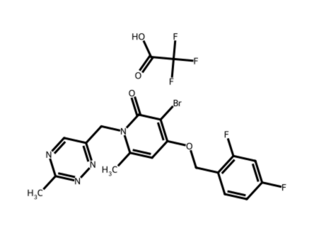 Cc1ncc(Cn2c(C)cc(OCc3ccc(F)cc3F)c(Br)c2=O)nn1.O=C(O)C(F)(F)F